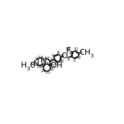 Cc1ccc(COc2ccc(C(CN3CCN(C)CC3)C3(O)CCCCC3)cc2)c(F)c1